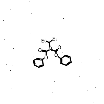 CCC(CC)N(C(=O)Oc1ccccc1)C(=O)Oc1ccccc1